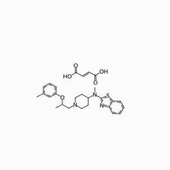 Cc1cccc(OC(C)CN2CCC(N(C)c3nc4ccccc4s3)CC2)c1.O=C(O)C=CC(=O)O